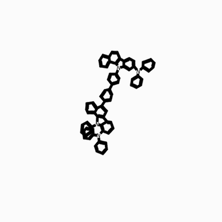 c1ccc(N(c2ccccc2)c2ccc3c4ccc5ccccc5c4n(-c4ccc(-c5ccc(-c6cc7c8cccc(N(c9ccccc9)c9ccccc9)c8n(-c8ccccc8)c7c7ccccc67)cc5)cc4)c3c2)cc1